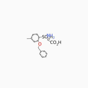 Cc1ccc(S(=O)(=O)O)c(OCc2ccccc2)c1.NCC(=O)O